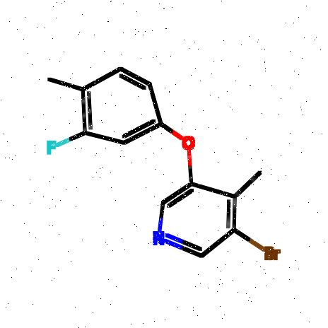 Cc1ccc(Oc2cncc(Br)c2C)cc1F